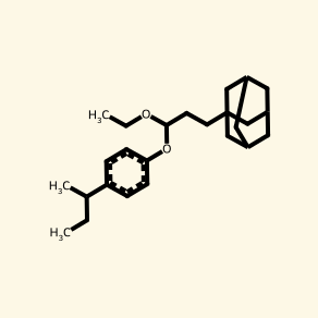 CCOC(CCC12CC3CC(CC(C3)C1)C2)Oc1ccc(C(C)CC)cc1